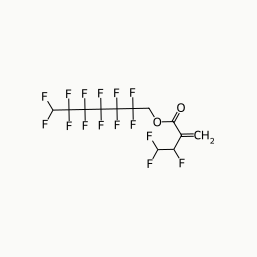 C=C(C(=O)OCC(F)(F)C(F)(F)C(F)(F)C(F)(F)C(F)(F)C(F)F)C(F)C(F)F